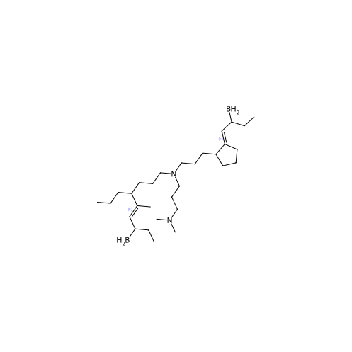 BC(/C=C(\C)C(CCC)CCCN(CCCC1CCC/C1=C\C(B)CC)CCCN(C)C)CC